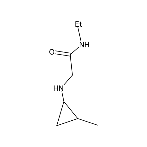 CCNC(=O)CNC1CC1C